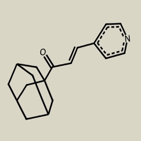 O=C(C=Cc1ccncc1)C12CC3CC(CC(C3)C1)C2